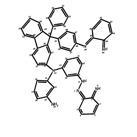 N=C1C=CC=C/C1=N/Nc1cccc(N(c2cccc(N)c2)c2ccc3c(c2)C(c2ccccc2)(c2ccc(/N=C4\C=CC=CC4=N)cc2)c2ccccc2-3)c1